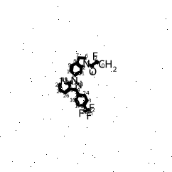 C=C(F)C(=O)N1CCc2ccc(-n3nc(-c4ccc(C(F)(F)F)cc4)c4cccnc43)cc21